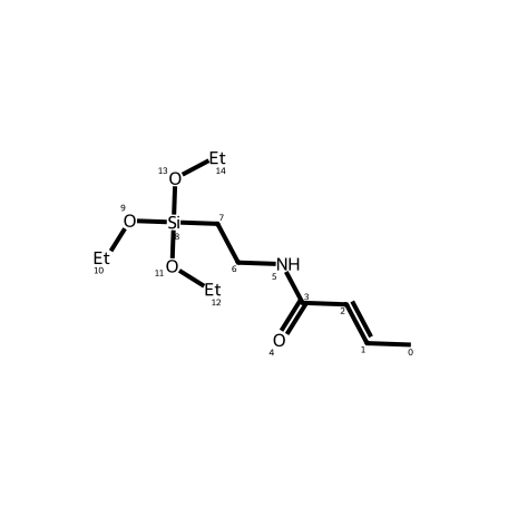 CC=CC(=O)NCC[Si](OCC)(OCC)OCC